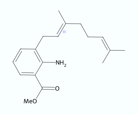 COC(=O)c1cccc(C/C=C(\C)CCC=C(C)C)c1N